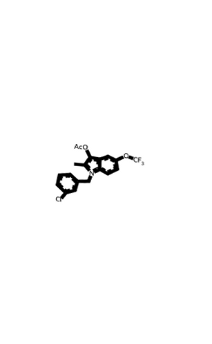 CC(=O)Oc1c(C)n(Cc2cccc(Cl)c2)c2ccc(OC(F)(F)F)cc12